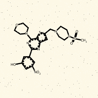 CS(=O)(=O)N1CCN(Cc2cc3nc(-c4cc(O)cc([N+](=O)[O-])c4)nc(N4CCOCC4)c3s2)CC1